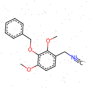 [C-]#[N+]Cc1ccc(OC)c(OCc2ccccc2)c1OC